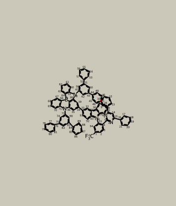 FC(F)(F)c1ccc(-c2nc(-c3ccccc3)cc(-c3ccccc3)n2)c(-n2c3ccccc3c3cc(-c4cc5c6c(c4)N(c4cc(-c7ccccc7)cc(-c7ccccc7)c4)c4ccccc4B6c4ccccc4N5c4cc(-c5ccccc5)cc(-c5ccccc5)c4)ccc32)c1